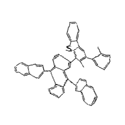 Cc1ccccc1-c1cc2c(sc3ccccc32)c(-c2ccc3c(-c4ccc5ccccc5c4)c4ccccc4c(-c4ccc5ccccc5c4)c3c2)c1C